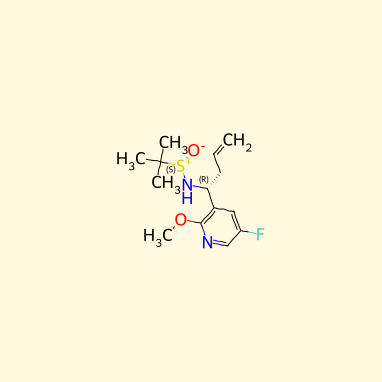 C=CC[C@@H](N[S@+]([O-])C(C)(C)C)c1cc(F)cnc1OC